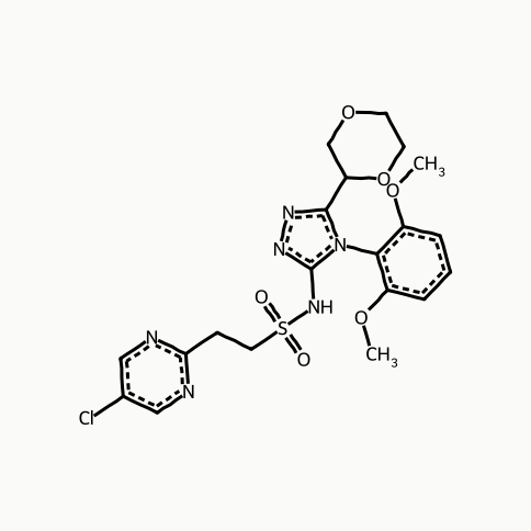 COc1cccc(OC)c1-n1c(NS(=O)(=O)CCc2ncc(Cl)cn2)nnc1C1COCCO1